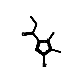 CCC(=O)c1cc(Br)c(C)n1C